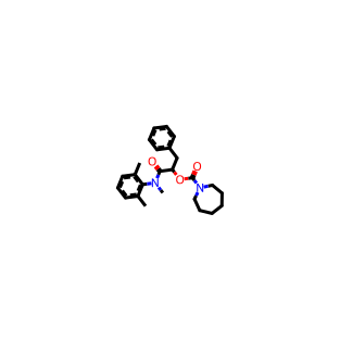 Cc1cccc(C)c1N(C)C(=O)C(Cc1ccccc1)OC(=O)N1CCCCCC1